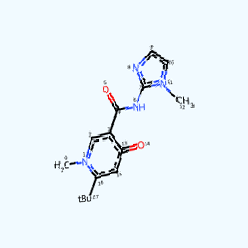 Cn1cc(C(=O)Nc2nccn2C)c(=O)cc1C(C)(C)C